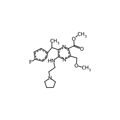 COCc1nc(NCCN2CCCC2)c(C(C)c2ccc(F)cc2)nc1C(=O)OC